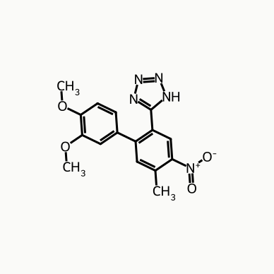 COc1ccc(-c2cc(C)c([N+](=O)[O-])cc2-c2nnn[nH]2)cc1OC